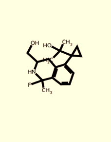 CC1(F)NC(CO)Cc2c1cccc2C1(C(C)(C)O)CC1